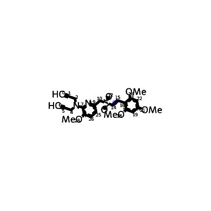 C#CCN(CC#C)c1nc(CS(=O)(=O)/C=C/c2c(OC)cc(OC)cc2OC)ccc1OC